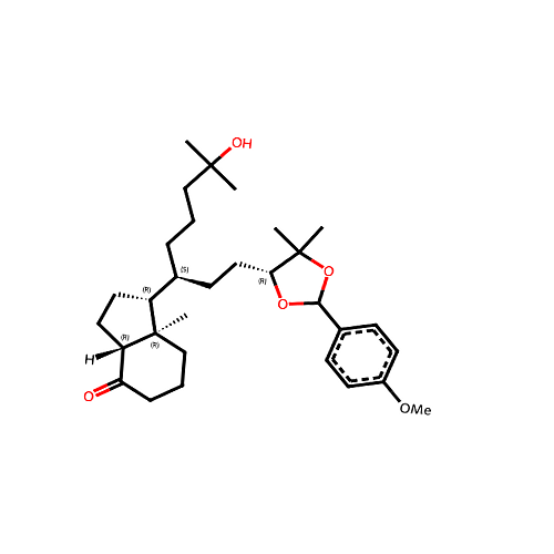 COc1ccc(C2O[C@H](CC[C@H](CCCC(C)(C)O)[C@H]3CC[C@H]4C(=O)CCC[C@]34C)C(C)(C)O2)cc1